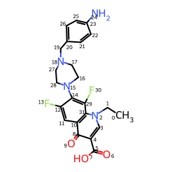 CCn1cc(C(=O)O)c(=O)c2cc(F)c(N3CCN(Cc4ccc(N)cc4)CC3)c(F)c21